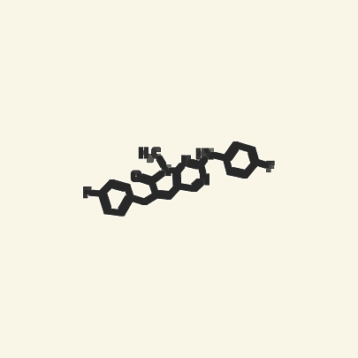 Cn1c(=O)c(Cc2ccc(F)cc2)cc2cnc(Nc3ccc(F)cc3)nc21